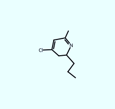 CCCC1CC(Cl)=CC(C)=N1